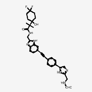 CC(C)(C(=O)NCc1nc2ccc(C#Cc3ccc(-c4cnc(CNC=O)[nH]4)cc3)cc2[nH]1)C1(O)CCC(F)(F)CC1